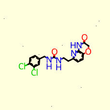 O=C1COc2ccc(CCNC(=O)NCc3ccc(Cl)c(Cl)c3)nc2N1